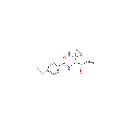 CCOc1ccc(C(=O)NC(C(=O)OC)C2(N)CC2)cc1